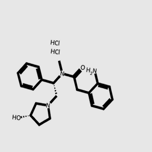 CN(C(=O)Cc1ccccc1N)[C@H](CN1CC[C@H](O)C1)c1ccccc1.Cl.Cl